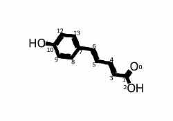 O=C(O)/C=C/C=C/c1ccc(O)cc1